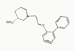 CCOC(=O)[C@@H]1CCCN(CCOc2ccccc2-c2ccccc2)C1